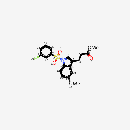 COC(=O)CCc1cn(S(=O)(=O)c2cccc(F)c2)c2ccc(OC)cc12